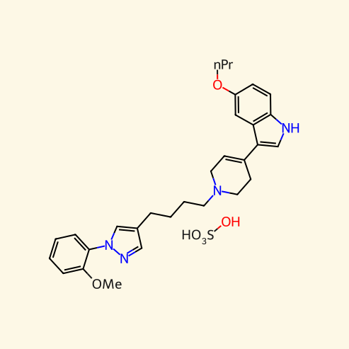 CCCOc1ccc2[nH]cc(C3=CCN(CCCCc4cnn(-c5ccccc5OC)c4)CC3)c2c1.O=S(=O)(O)O